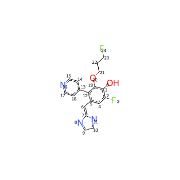 Oc1c(F)cc(C=C2N=CC=N2)c(-c2ccncc2)c1OCCCF